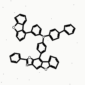 c1ccc(-c2ccc(N(c3ccc(-c4c5oc(-c6ccccc6)nc5cc5oc6ccccc6c45)cc3)c3cccc(-c4cccc5oc6ccccc6c45)c3)cc2)cc1